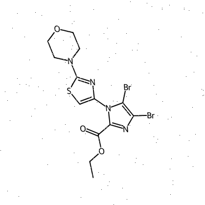 CCOC(=O)c1nc(Br)c(Br)n1-c1csc(N2CCOCC2)n1